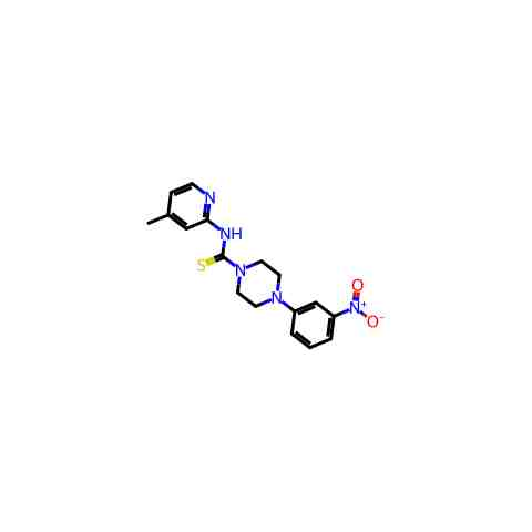 Cc1ccnc(NC(=S)N2CCN(c3cccc([N+](=O)[O-])c3)CC2)c1